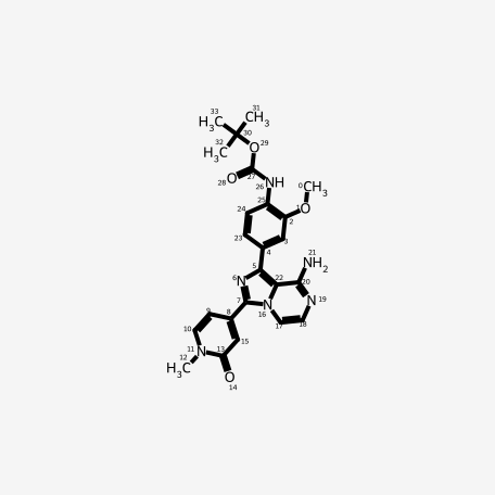 COc1cc(-c2nc(-c3ccn(C)c(=O)c3)n3ccnc(N)c23)ccc1NC(=O)OC(C)(C)C